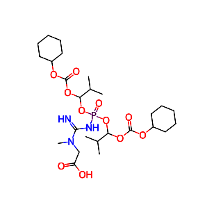 CC(C)C(OC(=O)OC1CCCCC1)OP(=O)(NC(=N)N(C)CC(=O)O)OC(OC(=O)OC1CCCCC1)C(C)C